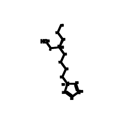 CCC[C@H](CO)CCCCn1ccnc1